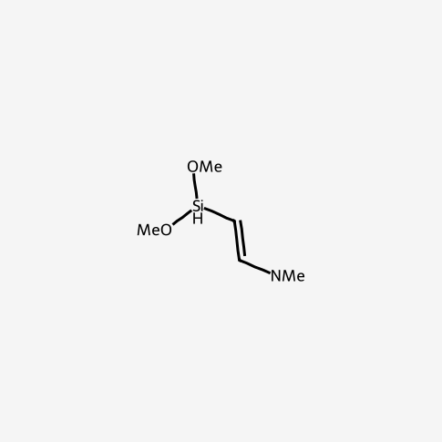 CNC=C[SiH](OC)OC